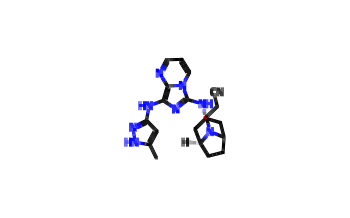 Cc1cc(Nc2nc(N[C@@H]3CC4CC[C@@H](C3)N4CCC#N)n3cccnc23)n[nH]1